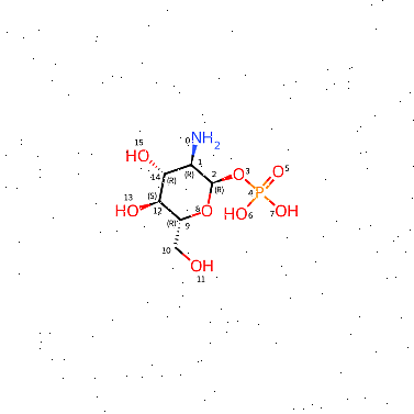 N[C@H]1[C@@H](OP(=O)(O)O)O[C@H](CO)[C@@H](O)[C@@H]1O